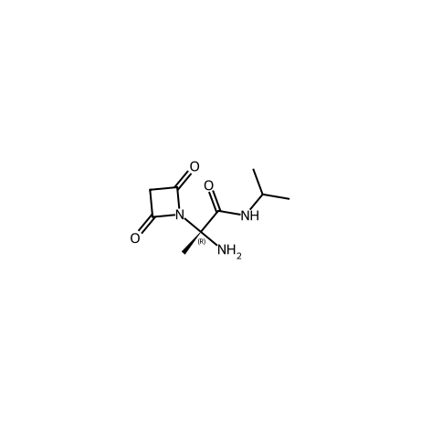 CC(C)NC(=O)[C@](C)(N)N1C(=O)CC1=O